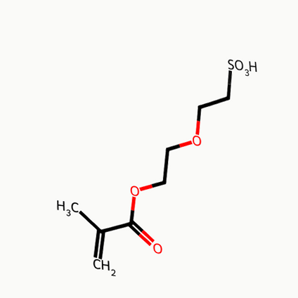 C=C(C)C(=O)OCCOCCS(=O)(=O)O